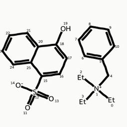 CC[N+](CC)(CC)Cc1ccccc1.O=S(=O)([O-])c1ccc(O)c2ccccc12